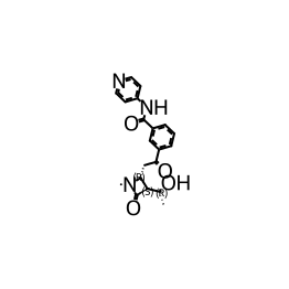 C[C@@H](O)[C@H]1C(=O)[N][C@@H]1CC(=O)c1cccc(C(=O)Nc2ccncc2)c1